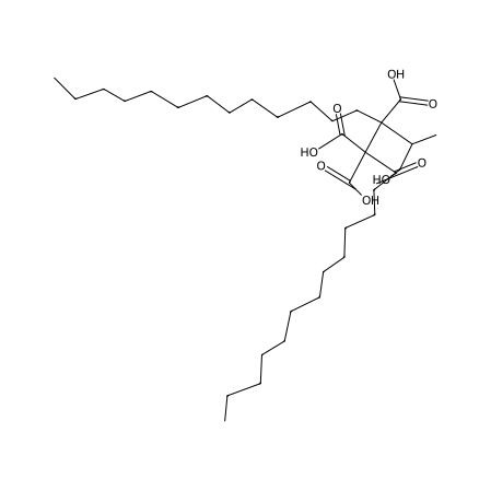 CCCCCCCCCCCCCC(C)C(CCCCCCCCCCCCC)(C(=O)O)C(C(=O)O)(C(=O)O)C(=O)O